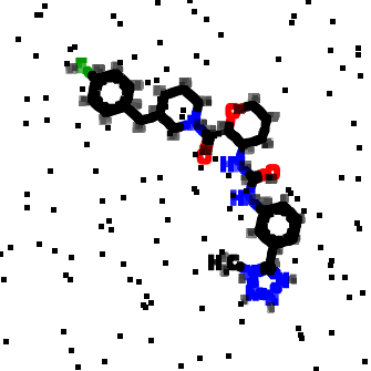 Cn1nnnc1-c1cccc(NC(=O)N[C@@H]2CCCO[C@H]2C(=O)N2CCCC(Cc3ccc(F)cc3)C2)c1